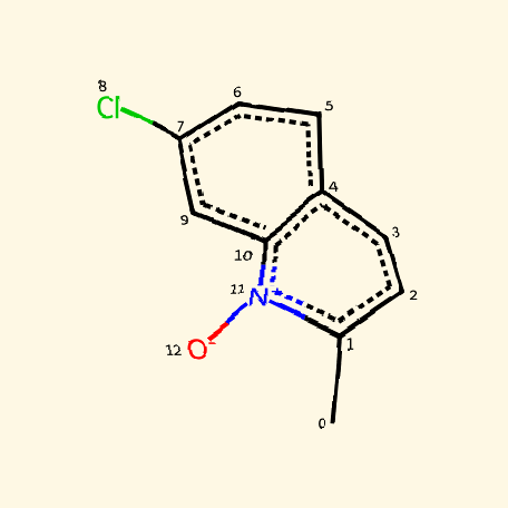 Cc1ccc2ccc(Cl)cc2[n+]1[O-]